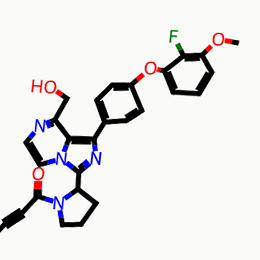 CC#CC(=O)N1CCCC1c1nc(-c2ccc(Oc3cccc(OC)c3F)cc2)c2c(CO)nccn12